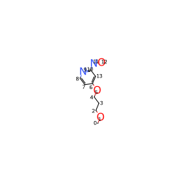 COCCCOc1ccnc(N=O)c1